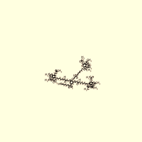 CC(=O)N[C@H]1[C@H](OCCCCCCNC(=O)CCOC2[C@H](OCCC(=O)NCCCCCCO[C@@H]3O[C@H](COC(C)=O)[C@H](OC(C)=O)[C@H](OC(C)=O)[C@H]3NC(C)=O)CC(C(=O)N(C)CCCCCCO)C[C@H]2OCCC(=O)NCCCCCCO[C@@H]2O[C@H](COC(C)=O)[C@H](OC(C)=O)[C@H](OC(C)=O)[C@H]2NC(C)=O)O[C@H](COC(C)=O)[C@H](OC(C)=O)[C@@H]1OC(C)=O